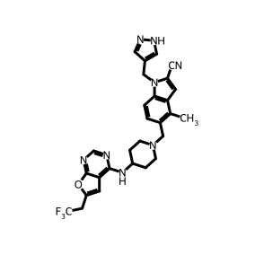 Cc1c(CN2CCC(Nc3ncnc4oc(CC(F)(F)F)cc34)CC2)ccc2c1cc(C#N)n2Cc1cn[nH]c1